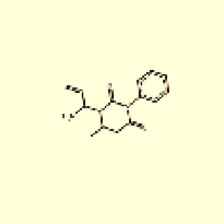 C=CC(N)C1C(=O)N(c2ccccc2)C(=O)CC1C